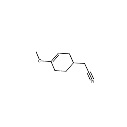 COC1=CCC(CC#N)CC1